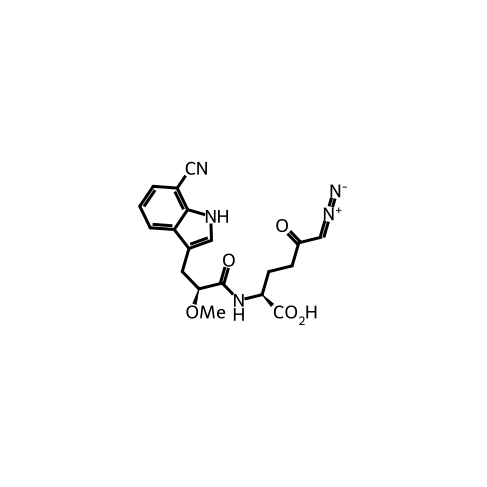 CO[C@@H](Cc1c[nH]c2c(C#N)cccc12)C(=O)N[C@@H](CCC(=O)C=[N+]=[N-])C(=O)O